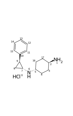 Cl.N[C@H]1CC[C@H](N[C@@H]2C[C@H]2c2ccccc2)CC1